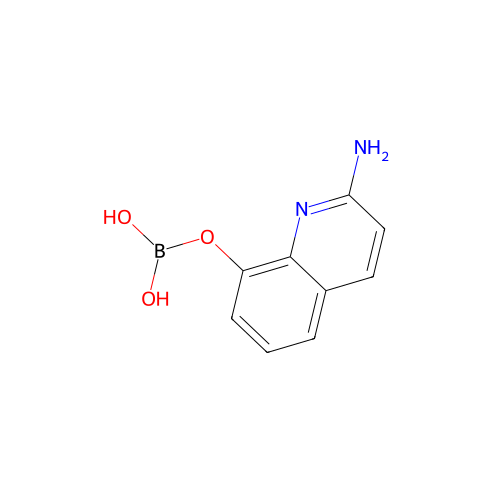 Nc1ccc2cccc(OB(O)O)c2n1